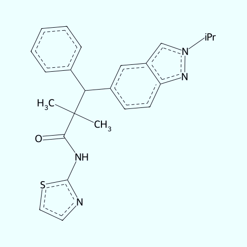 CC(C)n1cc2cc(C(c3ccccc3)C(C)(C)C(=O)Nc3nccs3)ccc2n1